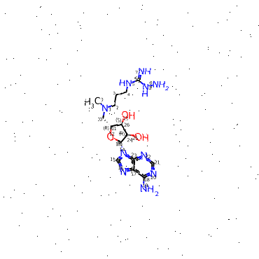 CN(CCCNC(=N)NN)C[C@H]1O[C@@H](n2cnc3c(N)ncnc32)[C@H](O)[C@@H]1O